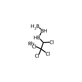 BBBC(Cl)C(Cl)(Cl)Cl.[Rh]